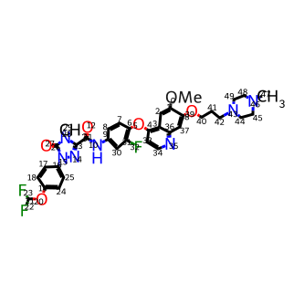 COc1cc2c(Oc3ccc(NC(=O)c4nn(-c5ccc(OC(F)F)cc5)c(=O)n4C)cc3F)ccnc2cc1OCCCN1CCN(C)CC1